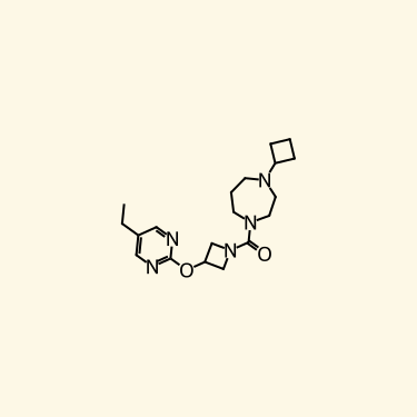 CCc1cnc(OC2CN(C(=O)N3CCCN(C4CCC4)CC3)C2)nc1